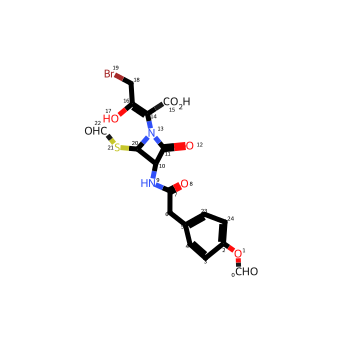 O=COc1ccc(CC(=O)NC2C(=O)N(C(C(=O)O)=C(O)CBr)C2SC=O)cc1